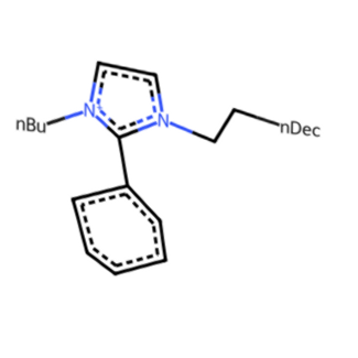 CCCCCCCCCCCCn1cc[n+](CCCC)c1-c1ccccc1